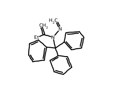 C=NN(C(=C)CC)C(c1ccccc1)(c1ccccc1)c1ccccc1